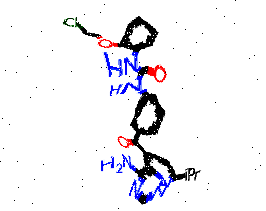 CC(C)c1cc(C(=O)c2cccc(NC(=O)Nc3ccccc3OCCCl)c2)c2c(N)ncnn12